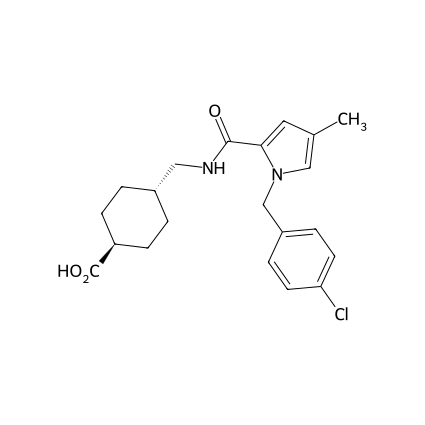 Cc1cc(C(=O)NC[C@H]2CC[C@H](C(=O)O)CC2)n(Cc2ccc(Cl)cc2)c1